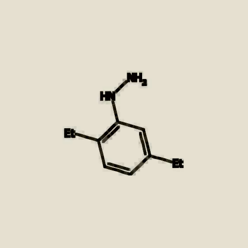 CCc1ccc(CC)c(NN)c1